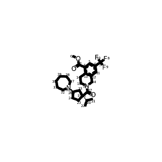 COC(=O)c1cc(C(F)(F)F)cc2c1CCN(C(=O)[C@@]1(C(C)C)CC[C@@H](N3CCCCCC3)C1)C2